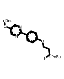 CCCCCCCCCCOc1cnc(-c2ccc(OCC[C@@H](F)CCCC)cc2)nc1